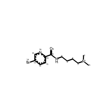 CN(C)CCCCNC(=O)c1ccc(Br)cn1